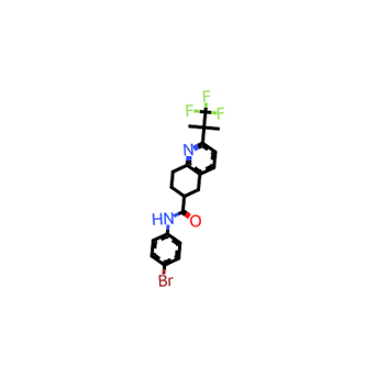 CC(C)(c1ccc2c(n1)CCC(C(=O)Nc1ccc(Br)cc1)C2)C(F)(F)F